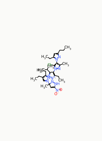 CCCc1cc(CC)n(-c2c(C)nn(C3=C(CC)[N+](N4NC([N+](=O)[O-])=CC4(C)n4cc(CC)c(CC)n4)N=C3C(C)C)c2Cl)n1